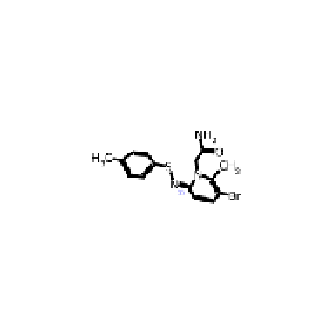 Cc1ccc(S/N=c2/ccc(Br)c(C)n2CC(N)=O)cc1